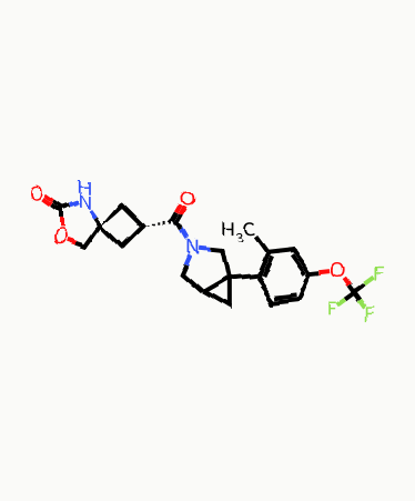 Cc1cc(OC(F)(F)F)ccc1C12CC1CN(C(=O)[C@H]1C[C@]3(COC(=O)N3)C1)C2